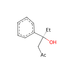 CC[C@](O)(CC(C)=O)c1ccccc1